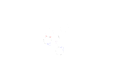 C(=C(C1CCCCC1)C1CCCCC1)P(c1ccccn1)c1ccccn1